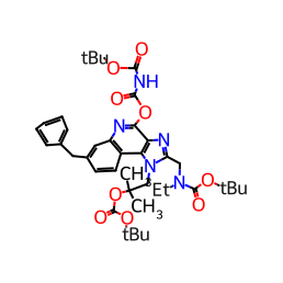 CCN(Cc1nc2c(OC(=O)NC(=O)OC(C)(C)C)nc3cc(Cc4ccccc4)ccc3c2n1CC(C)(C)OC(=O)OC(C)(C)C)C(=O)OC(C)(C)C